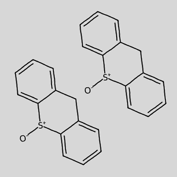 [O-][S+]1c2ccccc2Cc2ccccc21.[O-][S+]1c2ccccc2Cc2ccccc21